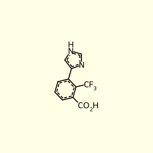 O=C(O)c1cccc(-c2c[nH]cn2)c1C(F)(F)F